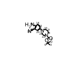 CC(C)(C)OC(=O)N1CCCN(c2ccc(N)c(C#N)c2)CC1